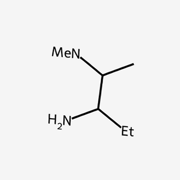 CCC(N)C(C)NC